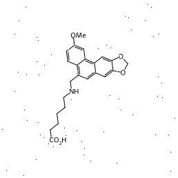 COc1ccc2c(CNCCCCCC(=O)O)cc3cc4c(cc3c2c1)OCO4